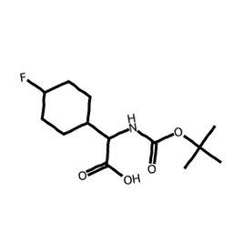 CC(C)(C)OC(=O)NC(C(=O)O)C1CCC(F)CC1